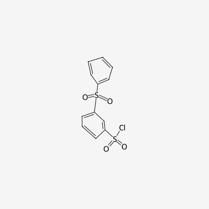 O=S(=O)(Cl)c1cccc(S(=O)(=O)c2ccccc2)c1